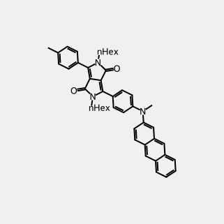 CCCCCCN1C(=O)C2=C(c3ccc(N(C)c4ccc5cc6ccccc6cc5c4)cc3)N(CCCCCC)C(=O)C2=C1c1ccc(C)cc1